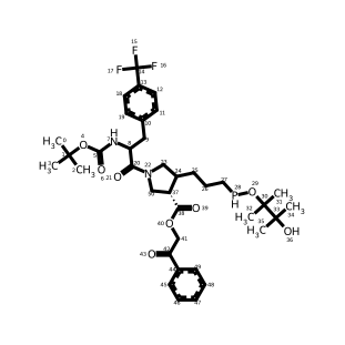 CC(C)(C)OC(=O)NC(Cc1ccc(C(F)(F)F)cc1)C(=O)N1CC(CCCPOC(C)(C)C(C)(C)O)[C@H](C(=O)OCC(=O)c2ccccc2)C1